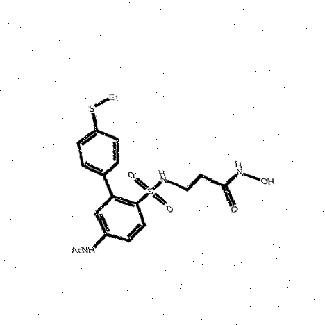 CCSc1ccc(-c2cc(NC(C)=O)ccc2S(=O)(=O)NCCC(=O)NO)cc1